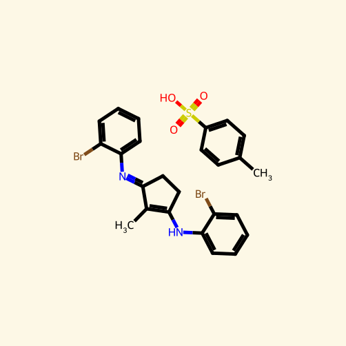 CC1=C(Nc2ccccc2Br)CC/C1=N\c1ccccc1Br.Cc1ccc(S(=O)(=O)O)cc1